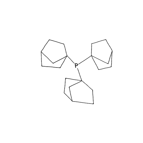 C1CC2(P(C34CCC(CC3)C4)C34CCC(CC3)C4)CCC1C2